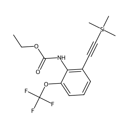 CCOC(=O)Nc1c(C#C[Si](C)(C)C)cccc1OC(F)(F)F